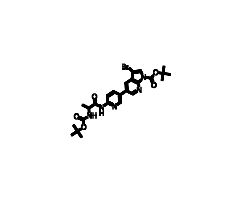 CC(NC(=O)OC(C)(C)C)C(=O)Nc1ccc(-c2cnc3c(c2)c(Br)cn3C(=O)OC(C)(C)C)cn1